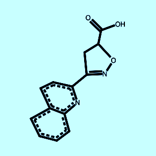 O=C(O)C1CC(c2ccc3ccccc3n2)=NO1